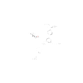 Cl.Cl.N=CCN1CCC(CNCc2cc(C(=O)O)cc(-c3ccc(C(=N)N)cc3)c2)CC1.O.O.O